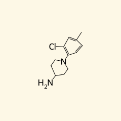 Cc1ccc(N2CCC(N)CC2)c(Cl)c1